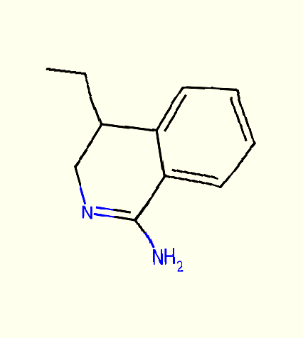 CCC1CN=C(N)c2ccccc21